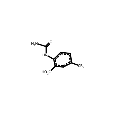 NC(=O)Nc1ccc(C(F)(F)F)cc1C(=O)O